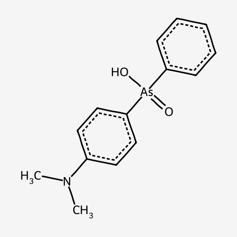 CN(C)c1ccc([As](=O)(O)c2ccccc2)cc1